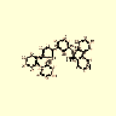 O=c1c2ccncc2c2ccccc2n1-c1cccc(-c2ccc3c4ccccc4c4ccccc4c3c2)c1